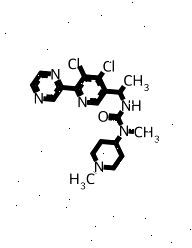 CC(NC(=O)N(C)C1CCN(C)CC1)c1cnc(-c2cnccn2)c(Cl)c1Cl